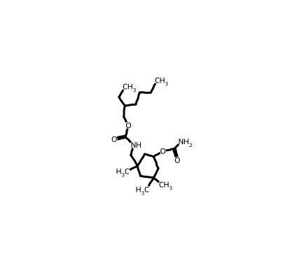 CCCCC(CC)COC(=O)NCC1(C)CC(OC(N)=O)CC(C)(C)C1